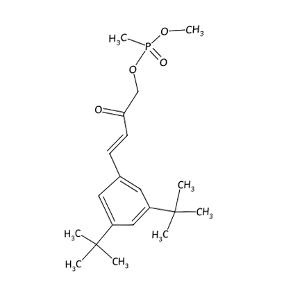 COP(C)(=O)OCC(=O)C=Cc1cc(C(C)(C)C)cc(C(C)(C)C)c1